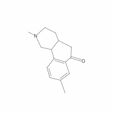 Cc1ccc2c(c1)C(=O)CC1CCN(C)CC21